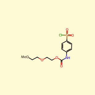 COCCOCCOC(=O)Nc1ccc(S(=O)(=O)Cl)cc1